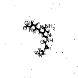 Cc1c(-c2cc3cc(NC(=O)[C@H]4C[C@@H]4c4cnn(C)c4)ncc3c(N)n2)cnc(C(=O)O)c1C